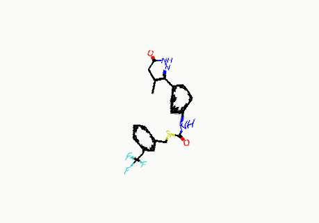 CC1CC(=O)NN=C1c1ccc(NC(=O)SCc2cccc(C(F)(F)F)c2)cc1